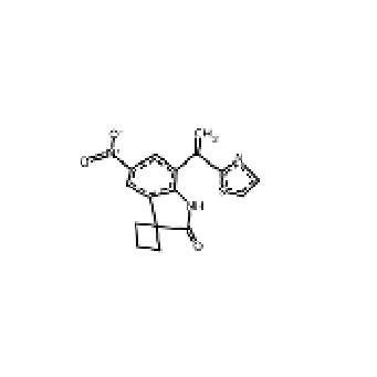 C=C(c1nccs1)c1cc([N+](=O)[O-])cc2c1NC(=O)C21CCC1